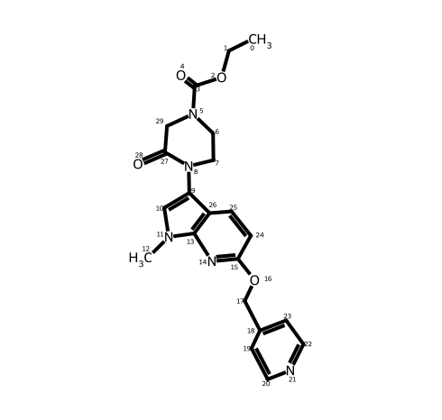 CCOC(=O)N1CCN(c2cn(C)c3nc(OCc4ccncc4)ccc23)C(=O)C1